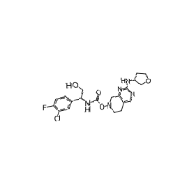 O=C(NC(CO)c1ccc(F)c(Cl)c1)ON1CCc2cnc(NC3CCOC3)nc2C1